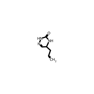 C=CCC1[C]=NNC(=O)N1